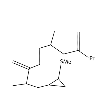 C=C(CC(C)CCC(=C)C(C)CC1CC1SC)C(C)C